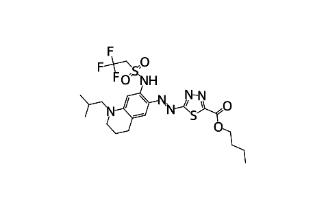 CCCCOC(=O)c1nnc(N=Nc2cc3c(cc2NS(=O)(=O)CC(F)(F)F)N(CC(C)C)CCC3)s1